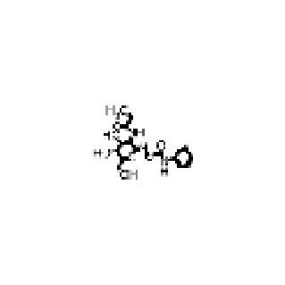 CCC(=O)NC1/C(=N/OC(=O)Nc2ccccc2)OC(CO)[C@@H](O)C1O